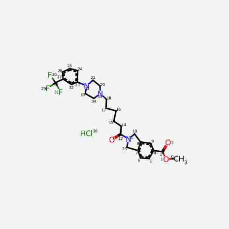 COC(=O)c1ccc2c(c1)CN(C(=O)CCCCCN1CCN(c3cccc(C(F)(F)F)c3)CC1)C2.Cl